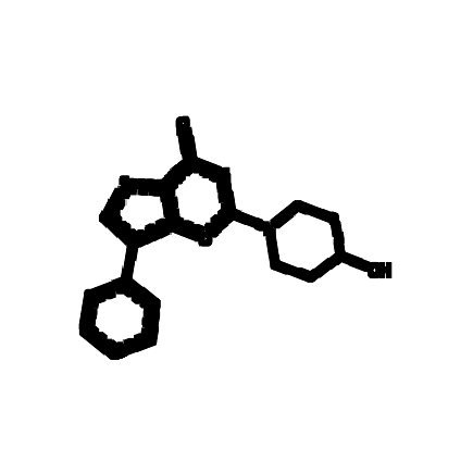 O=c1nc(N2CCC(O)CC2)oc2c(-c3ccccc3)csc12